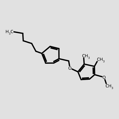 CCCCCc1ccc(COc2ccc(OC)c(C)c2C)cc1